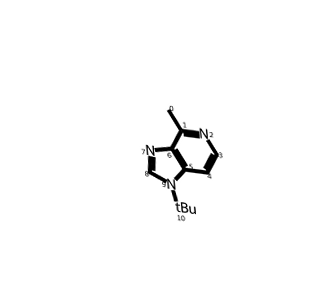 Cc1nccc2c1ncn2C(C)(C)C